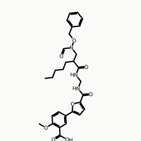 CCCCCC(CN(C=O)OCc1ccccc1)C(=O)NCNC(=O)c1ccc(-c2ccc(OC)c(C(=O)O)c2)o1